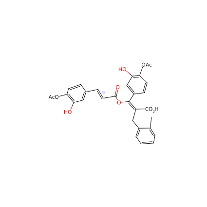 CC(=O)Oc1ccc(/C=C/C(=O)OC(=C(Cc2ccccc2C)C(=O)O)c2ccc(OC(C)=O)c(O)c2)cc1O